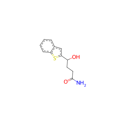 NC(=O)CCC(O)c1cc2ccccc2s1